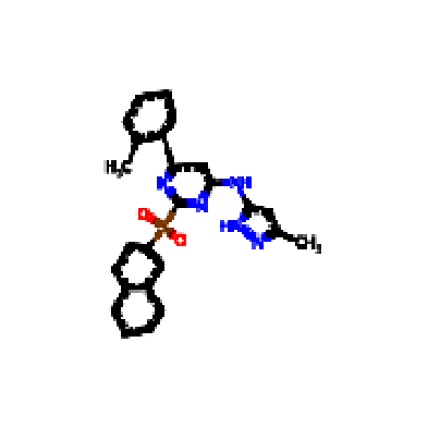 Cc1cc(Nc2cc(-c3ccccc3C)nc(S(=O)(=O)c3ccc4ccccc4c3)n2)[nH]n1